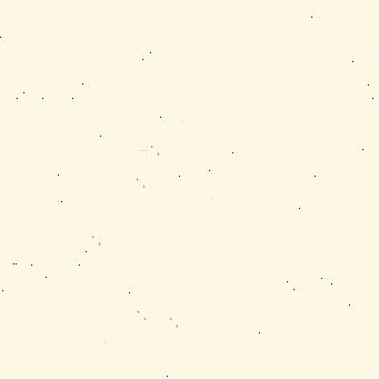 CCc1nc2c(cnn2C(C)(C)C)c(=O)n1NC(=O)Cc1ccccc1